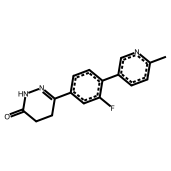 Cc1ccc(-c2ccc(C3=NNC(=O)CC3)cc2F)cn1